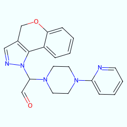 O=CC(N1CCN(c2ccccn2)CC1)n1ncc2c1-c1ccccc1OC2